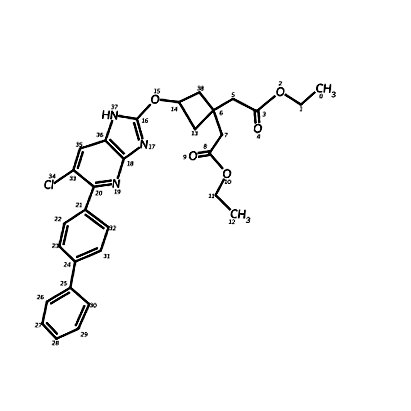 CCOC(=O)CC1(CC(=O)OCC)CC(Oc2nc3nc(-c4ccc(-c5ccccc5)cc4)c(Cl)cc3[nH]2)C1